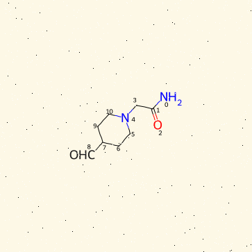 NC(=O)CN1CCC(C=O)CC1